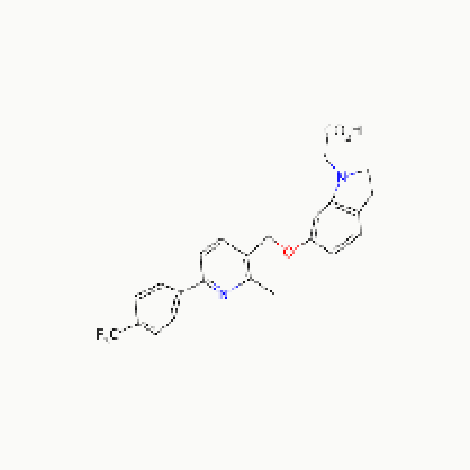 Cc1nc(-c2ccc(C(F)(F)F)cc2)ccc1COc1ccc2c(c1)N(CC(=O)O)CC2